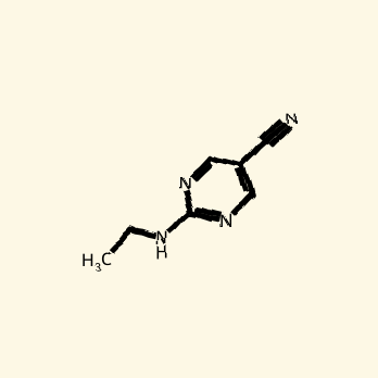 CCNc1ncc(C#N)cn1